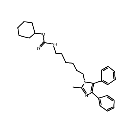 Cc1nc(-c2ccccc2)c(-c2ccccc2)n1CCCCCCNC(=O)OC1CCCCC1